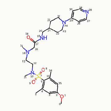 COc1cc(C)c(S(=O)(=O)N(C)CCN(C)CC(=O)NCC2CCN(c3ccncc3)CC2)c(C)c1